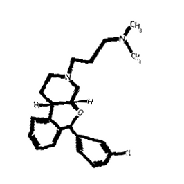 CN(C)CCCN1CC[C@H]2c3ccccc3C(c3cccc(Cl)c3)O[C@H]2C1